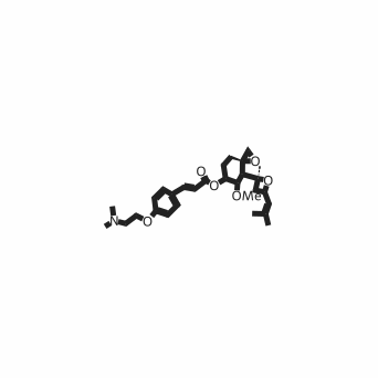 COC1C(OC(=O)/C=C/c2ccc(OCCN(C)C)cc2)CC[C@]2(CO2)C1[C@]1(C)CC(C=C(C)C)O1